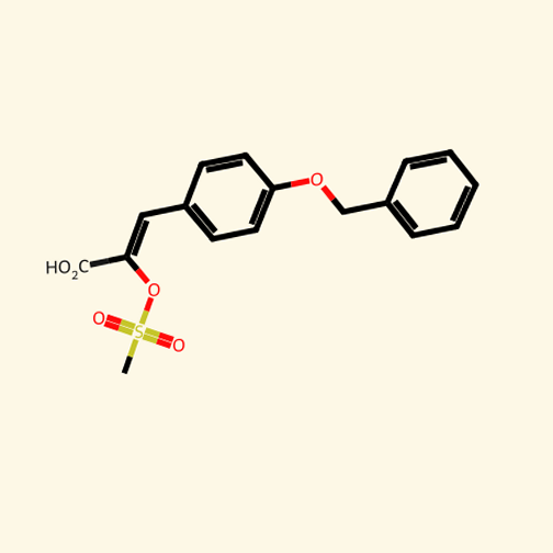 CS(=O)(=O)O/C(=C\c1ccc(OCc2ccccc2)cc1)C(=O)O